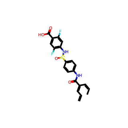 C=C/C=C(\C=C/C)C(=O)Nc1ccc([S+]([O-])Nc2cc(F)c(C(=O)O)cc2F)cc1